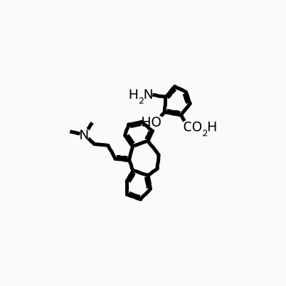 CN(C)CCC=C1c2ccccc2CCc2ccccc21.Nc1cccc(C(=O)O)c1O